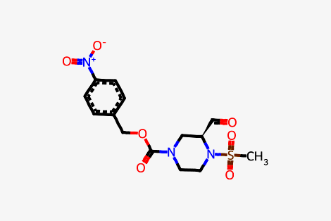 CS(=O)(=O)N1CCN(C(=O)OCc2ccc([N+](=O)[O-])cc2)C[C@H]1C=O